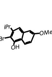 COc1ccc2c(O)c(Br)c(C(C)C)cc2c1